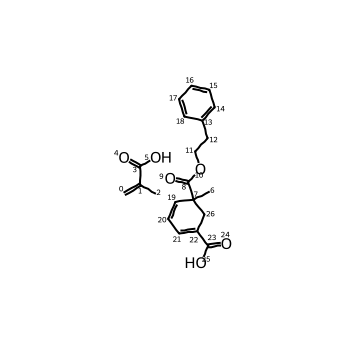 C=C(C)C(=O)O.CC1(C(=O)OCCc2ccccc2)C=CC=C(C(=O)O)C1